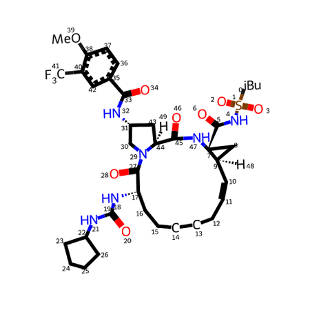 CCC(C)S(=O)(=O)NC(=O)[C@@]12C[C@H]1/C=C\CCCCC[C@H](NC(=O)NC1CCCC1)C(=O)N1C[C@H](NC(=O)c3ccc(OC)c(C(F)(F)F)c3)C[C@H]1C(=O)N2